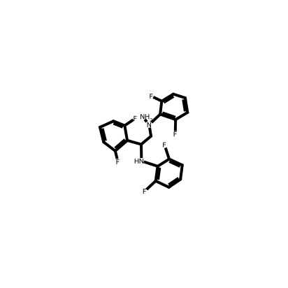 NN(CC(Nc1c(F)cccc1F)c1c(F)cccc1F)c1c(F)cccc1F